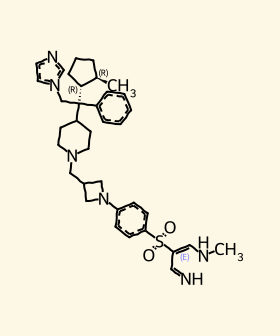 CN/C=C(\C=N)S(=O)(=O)c1ccc(N2CC(CN3CCC(C(Cn4ccnc4)(c4ccccc4)[C@@H]4CCC[C@H]4C)CC3)C2)cc1